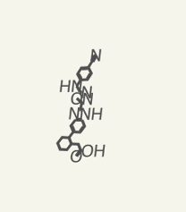 N#Cc1ccc(Nc2nnc(-c3nc4cc(C5CCCCC5CC(=O)O)ccc4[nH]3)o2)cc1